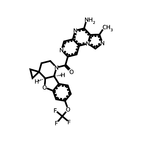 Cc1ncn2c1c(N)nc1cnc(C(=O)N3CCC4(CC4)[C@@H]4Oc5cc(OC(F)(F)F)ccc5[C@@H]43)cc12